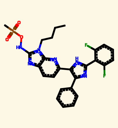 CCCCn1c(NOS(C)(=O)=O)nc2ccc(-c3[nH]c(-c4c(F)cccc4F)nc3-c3ccccc3)nc21